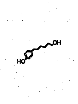 OCCCCCCc1ccc(O)cc1